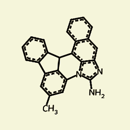 Cc1cc2c3c(c1)-n1c(N)nc4cc5ccccc5c(c41)C3c1ccccc1-2